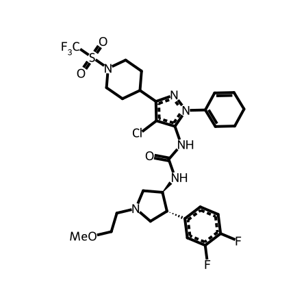 COCCN1C[C@@H](NC(=O)Nc2c(Cl)c(C3CCN(S(=O)(=O)C(F)(F)F)CC3)nn2C2=CCCC=C2)[C@H](c2ccc(F)c(F)c2)C1